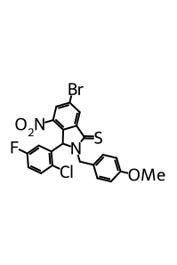 COc1ccc(CN2C(=S)c3cc(Br)cc([N+](=O)[O-])c3C2c2cc(F)ccc2Cl)cc1